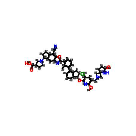 COc1nc(O[C@H]2CCc3c(-c4cccc(-c5nc6cc7c(c(C#N)c6o5)CC[C@H]7N5CC[C@@H](C(=O)O)C5)c4C)cccc32)c(Cl)cc1CN1CC2(CCC(=O)N2)C1